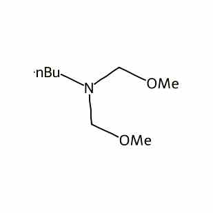 CCC[CH]N(COC)COC